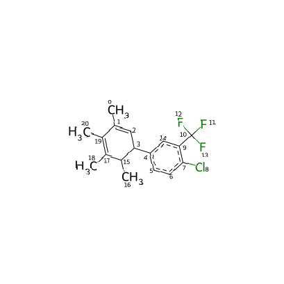 CC1=CC(c2ccc(Cl)c(C(F)(F)F)c2)C(C)C(C)=C1C